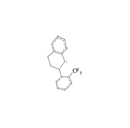 FC(F)(F)c1ccccc1C1[C]c2ccccc2CC1